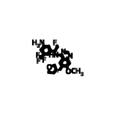 COc1cc2ncnc(NC(CF)c3cc(N)cc(C(F)(F)F)c3)c2cc1C[C@@H]1CCOC1